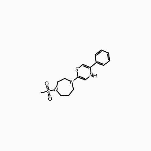 CS(=O)(=O)N1CCCN(C2=CNC(c3ccccc3)=CS2)CC1